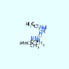 COc1ccc(-c2[nH]c(C3CCN(c4ncnc5[nH]c(-c6ccc(C)cc6)cc45)CC3)nc2C)cc1C